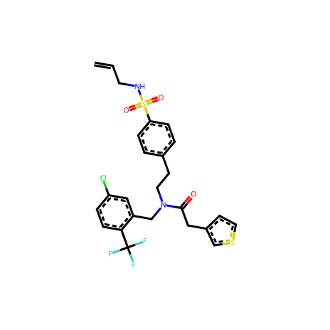 C=CCNS(=O)(=O)c1ccc(CCN(Cc2cc(Cl)ccc2C(F)(F)F)C(=O)Cc2ccsc2)cc1